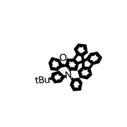 CC(C)(C)c1ccc(N(c2ccccc2)c2cc3c(c4oc5ccccc5c24)-c2ccccc2C32c3ccccc3-c3ccccc32)cc1